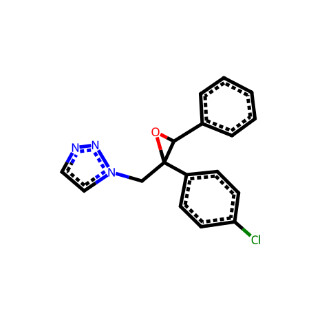 Clc1ccc(C2(Cn3ccnn3)OC2c2ccccc2)cc1